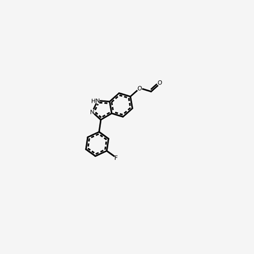 O=COc1ccc2c(-c3cccc(F)c3)n[nH]c2c1